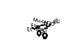 CCC(CC)CC1CC(C#C/C(=N\OC)C(CCO[Si](c2ccccc2)(c2ccccc2)C(C)(C)C)CC(=O)OC(C)(C)C)C1